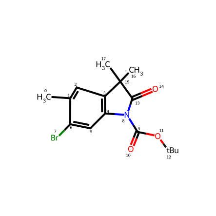 Cc1cc2c(cc1Br)N(C(=O)OC(C)(C)C)C(=O)C2(C)C